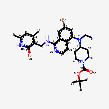 CCN(c1cc(Br)cc2c(NCc3c(C)cc(C)[nH]c3=O)nccc12)C1CCN(C(=O)OC(C)(C)C)CC1